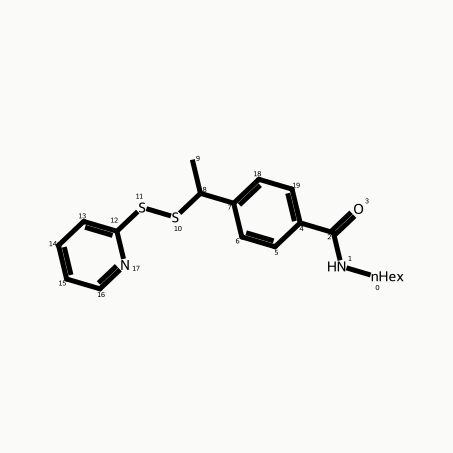 CCCCCCNC(=O)c1ccc(C(C)SSc2ccccn2)cc1